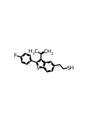 C=C(C)c1c(-c2ccc(F)cc2)sc2ccc(CCS)cc12